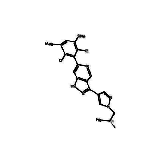 COc1cc(OC)c(Cl)c(-c2cc3[nH]nc(-c4cnn(C[C@H](C)O)c4)c3cn2)c1Cl